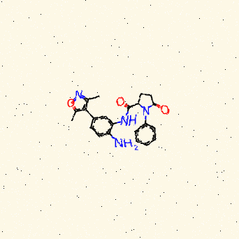 Cc1noc(C)c1-c1ccc(N)c(NC(=O)C2CCC(=O)N2c2ccccc2)c1